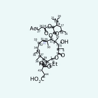 CC[C@H]1OC(=O)[C@H](C)[C@@H](O)[C@H](C)[C@@H](O[C@@H]2O[C@H](C)CC(N(C)C)[C@H]2OC(=O)CCC(C)=O)/C(C)=C/[C@@H](C)CN(C)[C@H](C)[C@@H](OC(=O)CCC(=O)O)[C@]1(C)O